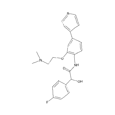 CN(C)CCOc1cc(-c2ccncc2)ccc1NC(=O)C(O)c1ccc(F)cc1